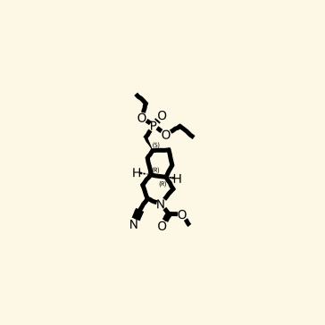 CCOP(=O)(C[C@H]1CC[C@H]2CN(C(=O)OC)C(C#N)C[C@H]2C1)OCC